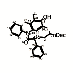 CCCCCCCCCCCCSC(C(=O)N(c1ccccc1)c1cc(C)c(O)c(C)c1C)c1ccccc1